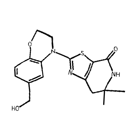 CC1(C)Cc2nc(N3CCOc4ccc(CO)cc43)sc2C(=O)N1